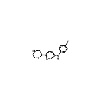 Fc1ccc(Nc2ccc(C3CNCCO3)nc2)cc1